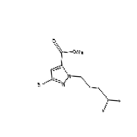 COC(=O)c1cc(Br)nn1CCCC(F)F